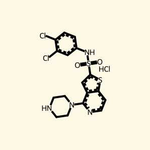 Cl.O=S(=O)(Nc1ccc(Cl)c(Cl)c1)c1cc2c(N3CCNCC3)nccc2s1